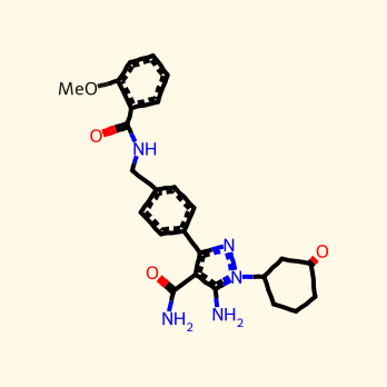 COc1ccccc1C(=O)NCc1ccc(-c2nn(C3CCCC(=O)C3)c(N)c2C(N)=O)cc1